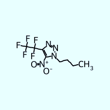 CCCCn1nnc(C(F)(F)C(F)(F)F)c1[N+](=O)[O-]